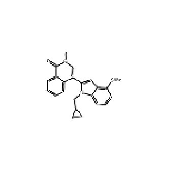 CSc1cccc2c1cc(-c1cn(C)c(=O)c3ccccc13)n2CC1CC1